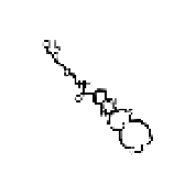 CCOCCOCCNC(=O)c1ccc2nc3c(nc2c1)CSC1CCCCCCCCCC(C1)SC3